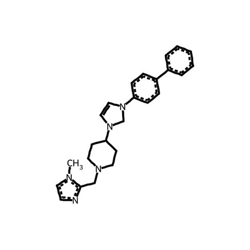 Cn1ccnc1CN1CCC(N2C=CN(c3ccc(-c4ccccc4)cc3)C2)CC1